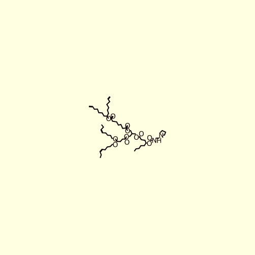 C=CCCCCCC(CCCCCC=C)OC(=O)CCCCCC(=O)OCC(COC(=O)CCC(CCCCC)OC(=O)NCCN1CCCC1)COC(=O)CCC(OCCCC/C=C\CC)OCCCC/C=C\CC